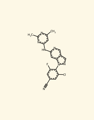 Cc1cc(Nc2cc3c(cn2)cnn3-c2c(F)cc(C#N)cc2Cl)nc(C)n1